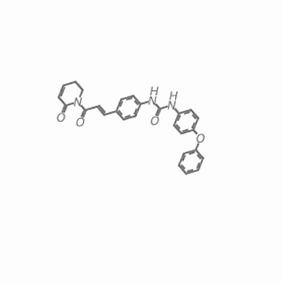 O=C(Nc1ccc(/C=C/C(=O)N2CCC=CC2=O)cc1)Nc1ccc(Oc2ccccc2)cc1